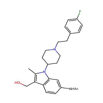 CC(=O)Nc1ccc2c(CO)c(C)n(C3CCN(CCc4ccc(F)cc4)CC3)c2c1